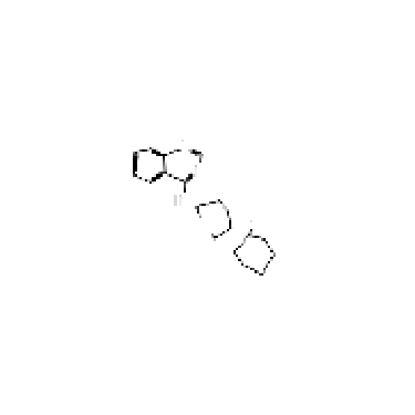 CC1([C@H]2CC[C@@H](Nc3ncnc4ccccc34)CC2)CCCCC1